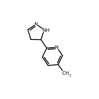 Cc1ccc(C2CC=NN2)nc1